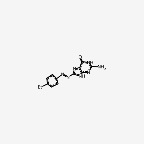 CCc1ccc(/N=N/c2nc3c(=O)[nH]c(N)nc3[nH]2)cc1